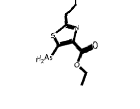 CCOC(=O)c1nc(CC)sc1[AsH2]